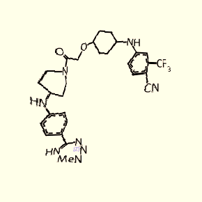 CN/N=N\C(=N)c1ccc(NC2CCN(C(=O)COC3CCC(Nc4ccc(C#N)c(C(F)(F)F)c4)CC3)CC2)cc1